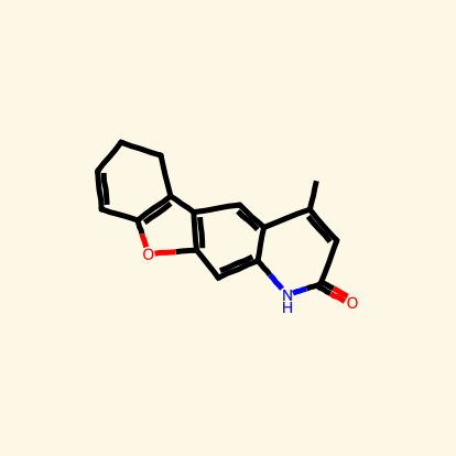 Cc1cc(=O)[nH]c2cc3oc4c(c3cc12)CCC=C4